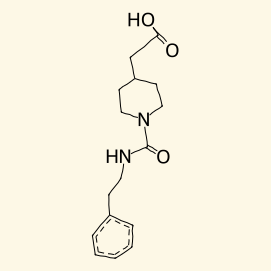 O=C(O)CC1CCN(C(=O)NCCc2ccccc2)CC1